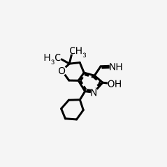 CC1(C)Cc2c(C=N)c(O)nc(C3CCCCC3)c2CO1